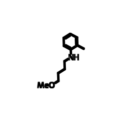 COCCCCNc1ccccc1C